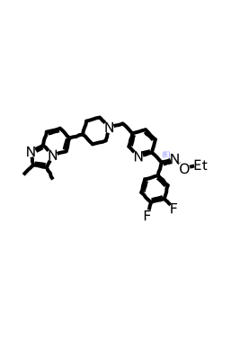 CCO/N=C(\c1ccc(F)c(F)c1)c1ccc(CN2CCC(c3ccc4nc(C)c(C)n4c3)CC2)cn1